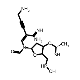 C[C@H](S)OC1C[C@H](N(C=O)/C=C(/C#CCN)C(=N)N)OC1CPO